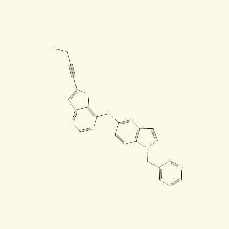 C[C@@H](N)C#Cc1cc2ncnc(Nc3ccc4c(ccn4Cc4cccnc4)c3)c2s1